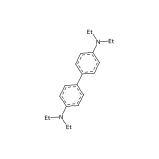 CCN(CC)c1ccc(-c2ccc(N(CC)CC)cc2)cc1